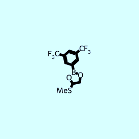 CSC1COB(c2cc(C(F)(F)F)cc(C(F)(F)F)c2)O1